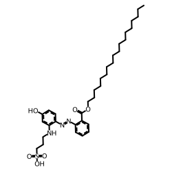 CCCCCCCCCCCCCCCCCCOC(=O)c1ccccc1N=Nc1ccc(O)cc1NCCCS(=O)(=O)O